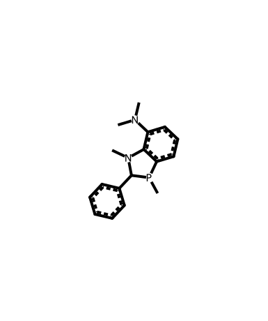 CN(C)c1cccc2c1N(C)C(c1ccccc1)P2C